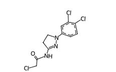 O=C(CCl)NC1=NN(c2ccc(Cl)c(Cl)c2)CC1